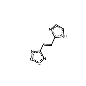 C(=Cc1ncc[nH]1)c1nnon1